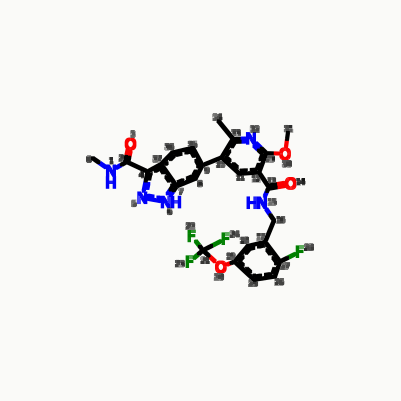 CNC(=O)c1n[nH]c2cc(-c3cc(C(=O)NCc4cc(OC(F)(F)F)ccc4F)c(OC)nc3C)ccc12